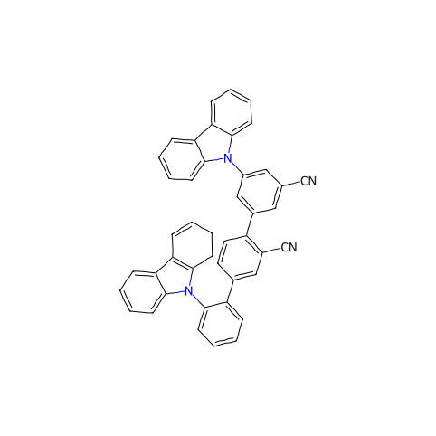 N#Cc1cc(-c2ccc(-c3ccccc3-n3c4c(c5ccccc53)C=CCC4)cc2C#N)cc(-n2c3ccccc3c3ccccc32)c1